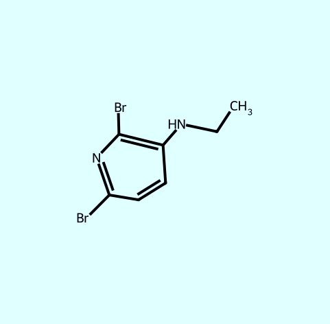 CCNc1ccc(Br)nc1Br